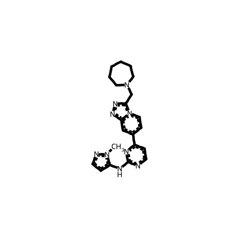 Cn1nccc1Nc1nccc(-c2ccn3c(CN4CCCCCC4)nnc3c2)n1